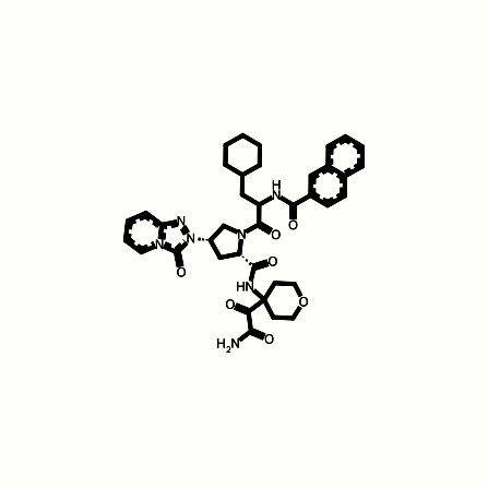 NC(=O)C(=O)C1(NC(=O)[C@@H]2C[C@H](n3nc4ccccn4c3=O)CN2C(=O)C(CC2CCCCC2)NC(=O)c2ccc3ccccc3c2)CCOCC1